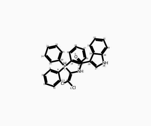 O=C(NC(=C(Cl)Cl)[PH](c1ccccc1)(c1ccccc1)c1ccccc1)c1c[nH]c2ccccc12